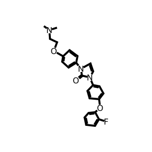 CN(C)CCOc1ccc(-n2ccn(-c3ccc(Oc4ccccc4F)cc3)c2=O)cc1